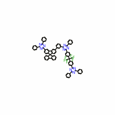 FC(F)(F)C(c1ccc(-c2nc(-c3ccccc3)nc(-c3ccccc3)n2)cc1)(c1ccc(-c2nc(-c3ccccc3)nc(-c3cccc(-c4ccc5c(c4)-c4cc(-c6nc(-c7ccccc7)nc(-c7ccccc7)n6)ccc4C54c5ccccc5-c5ccccc54)c3)n2)cc1)C(F)(F)F